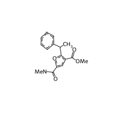 CNC(=O)c1cc(C(=O)OC)c(C(C)c2ccccc2)o1